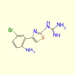 N=C(N)Nc1nc(-c2cc(Br)ccc2N)cs1